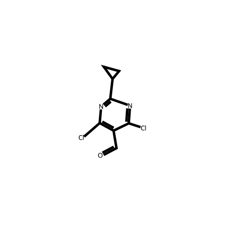 O=Cc1c(Cl)nc(C2CC2)nc1Cl